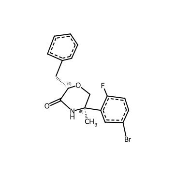 C[C@@]1(c2cc(Br)ccc2F)CO[C@@H](Cc2ccccc2)C(=O)N1